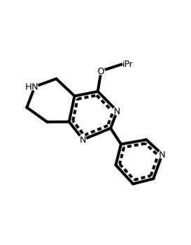 CC(C)Oc1nc(-c2cccnc2)nc2c1CNCC2